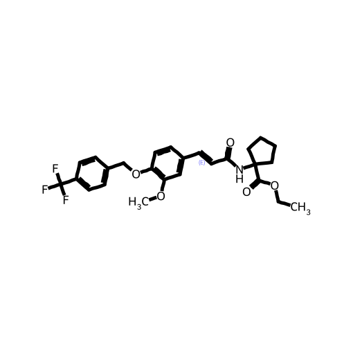 CCOC(=O)C1(NC(=O)/C=C/c2ccc(OCc3ccc(C(F)(F)F)cc3)c(OC)c2)CCCC1